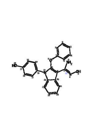 N/C(=N\O)c1c(Oc2ccccc2)n(-c2ccc(O)cc2)c2ccccc12